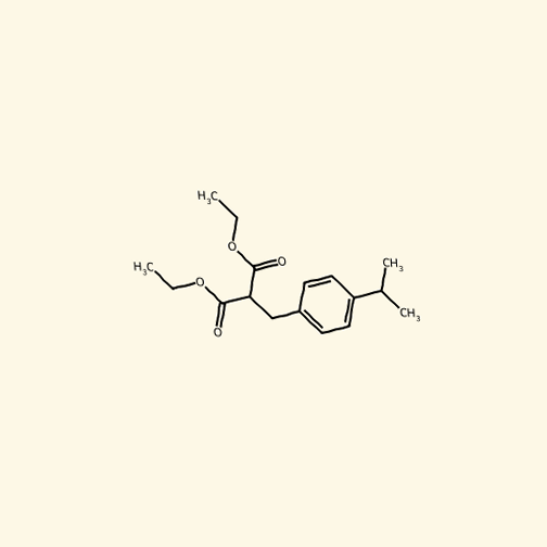 CCOC(=O)C(Cc1ccc(C(C)C)cc1)C(=O)OCC